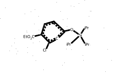 CCOC(=O)c1ccc(O[Si](C(C)C)(C(C)C)C(C)C)cc1Cl